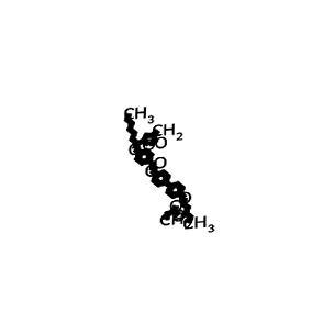 C=CC(=O)OC(CCCC)Oc1ccc(-c2ccc(OC(=O)c3ccc(OC(CCCCCC)C4CC(=C)C(=O)O4)cc3)cc2)cc1